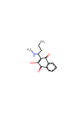 CCCC(NC)C1=C(O)C(=O)c2ccccc2C1=O